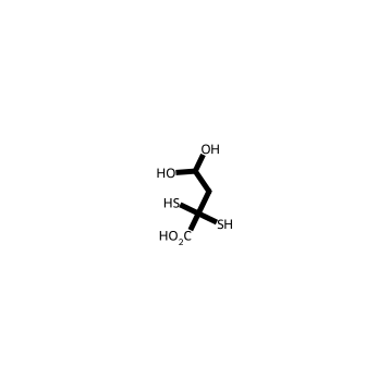 O=C(O)C(S)(S)CC(O)O